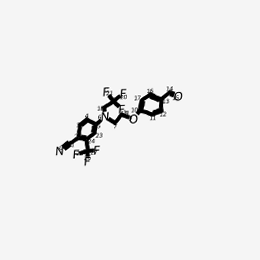 N#Cc1ccc(N(CCOc2ccc(C=O)cc2)CC(F)(F)F)cc1C(F)(F)F